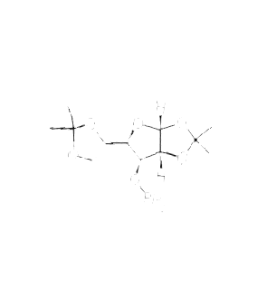 CC1(C)O[C@H]2O[C@H]([C@@H]3COC(C)(C)O3)[C@H](OP)[C@H]2O1